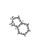 c1ccc2[s+]scc2c1